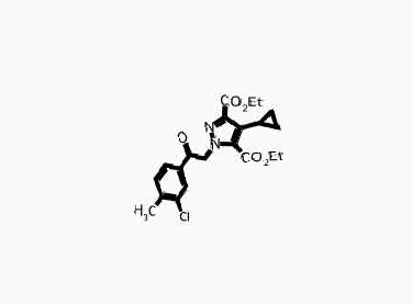 CCOC(=O)c1nn(CC(=O)c2ccc(C)c(Cl)c2)c(C(=O)OCC)c1C1CC1